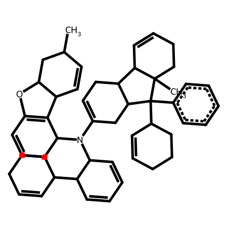 CC1C=CC2C3=C(C=CCC3N(C3=CCC4C5C=CCCC5(C)C(c5ccccc5)(C5C=CCCC5)C4C3)C3C=CC=CC3C3C=CCCC3)OC2C1